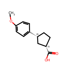 COc1ccc([C@@H]2CC[C@H](C(=O)O)C2)cc1